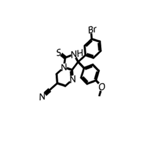 COc1ccc(C2(c3cccc(Br)c3)NC(=S)N3CC(C#N)CN=C32)cc1